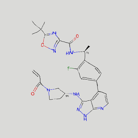 C=CC(=O)N1CC[C@@H](Nc2n[nH]c3nccc(-c4ccc([C@H](C)NC(=O)c5noc(C(C)(C)C)n5)c(F)c4)c23)C1